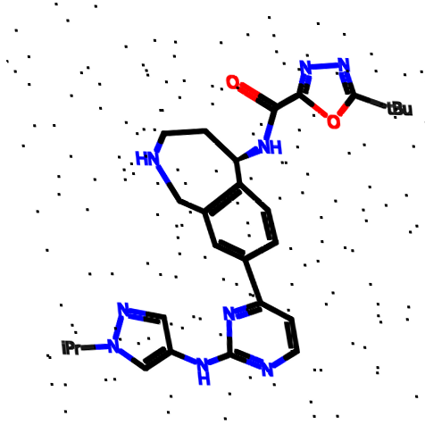 CC(C)n1cc(Nc2nccc(-c3ccc4c(c3)CNCC[C@H]4NC(=O)c3nnc(C(C)(C)C)o3)n2)cn1